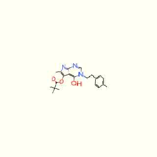 Cc1ccc(CCn2cnc3nc(C)c(OC(=O)C(C)(C)C)c-3c2O)cc1